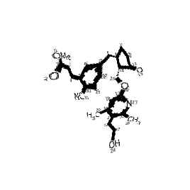 COC(=O)CCc1cc(C[C@H]2CCC(=O)[C@@H]2COc2cc(C)c(CCO)c(C)n2)ccc1C#N